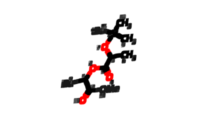 CCC(C)C(OC(=O)C(C)O[Si](C)(C)C(C)(C)C)C(=O)OC